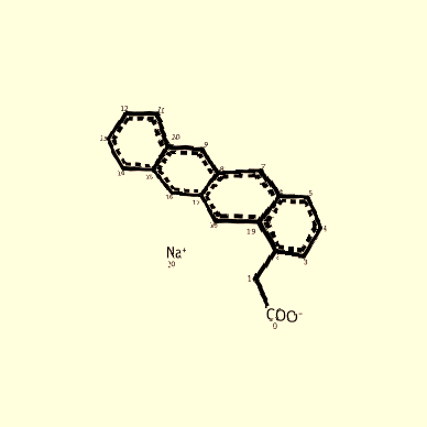 O=C([O-])Cc1cccc2cc3cc4ccccc4cc3cc12.[Na+]